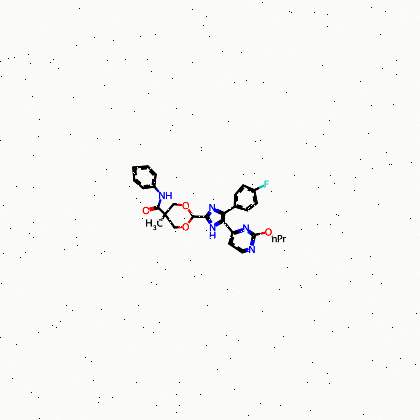 CCCOc1nccc(-c2[nH]c(C3OCC(C)(C(=O)Nc4ccccc4)CO3)nc2-c2ccc(F)cc2)n1